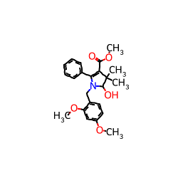 COC(=O)C1=C(c2ccccc2)N(Cc2ccc(OC)cc2OC)C(O)C1(C)C